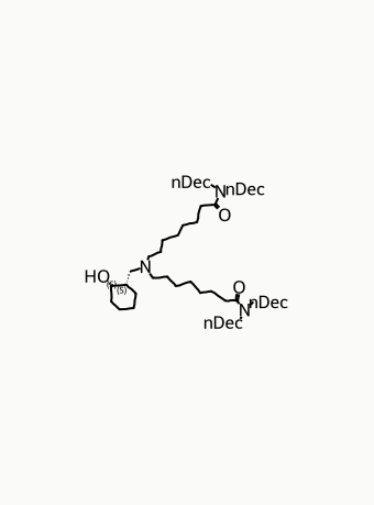 CCCCCCCCCCN(CCCCCCCCCC)C(=O)CCCCCCCN(CCCCCCCC(=O)N(CCCCCCCCCC)CCCCCCCCCC)C[C@@H]1CCCC[C@@H]1O